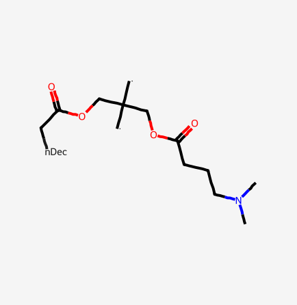 [CH2]C([CH2])(COC(=O)CCCCCCCCCCC)COC(=O)CCCN(C)C